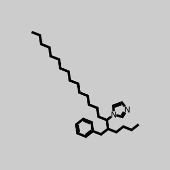 CCCCCCCCCCCCCCCC(C(CCCC)Cc1ccccc1)n1ccnc1